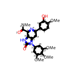 CNC(=O)c1nc(-c2ccc(OC)c(O)c2)cc2c1[nH]c(=O)n2-c1cc(OC)c(OC)c(OC)c1